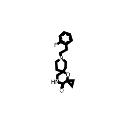 O=C1NCC2(CCN(CCc3ccccc3F)CC2)OC12CC2